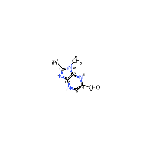 CC(C)c1nc2ncc(C=O)nc2n1C